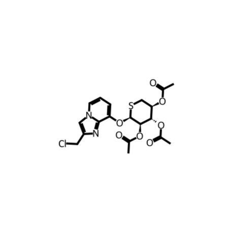 CC(=O)O[C@@H]1[C@@H](OC(C)=O)[C@@H](Oc2cccn3cc(CCl)nc23)SC[C@H]1OC(C)=O